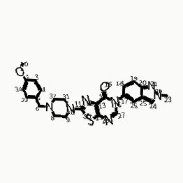 COc1ccc(CN2CCN(c3nc4c(=O)n(-c5ccc6nn(C)cc6c5)cnc4s3)CC2)cc1